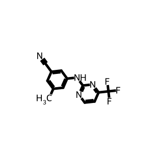 Cc1cc(C#N)cc(Nc2nccc(C(F)(F)F)n2)c1